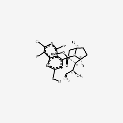 C=C[C@H](C)[C@H]1[C@@H]2CC[C@H](CN1c1nc(SCC)nc3c(F)c(Cl)nc(Br)c13)N2C(=O)OC(C)(C)C